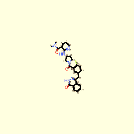 CN(C)C(=O)c1cccnc1N[C@@H]1CCN(C(=O)c2cc(Cc3n[nH]c(=O)c4ccccc34)ccc2F)C1